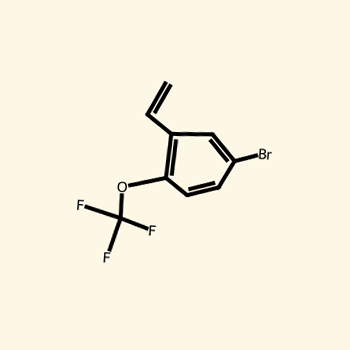 C=Cc1cc(Br)ccc1OC(F)(F)F